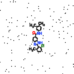 Cc1ccc(NC(=O)c2ccc3nc(-c4c(C)cccc4Cl)[nH]c3c2)cc1C